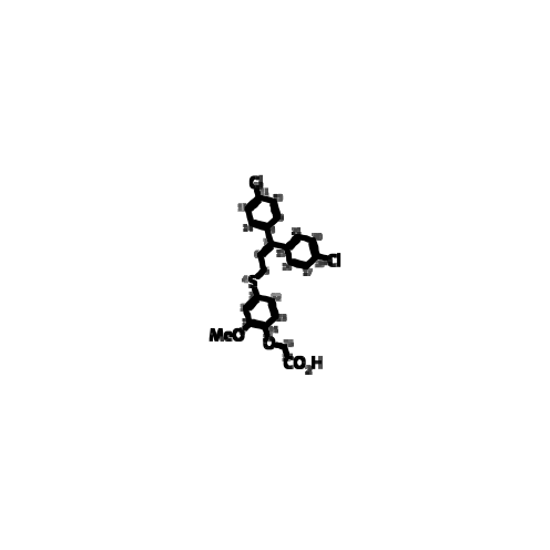 COc1cc(SCC=C(c2ccc(Cl)cc2)c2ccc(Cl)cc2)ccc1OCC(=O)O